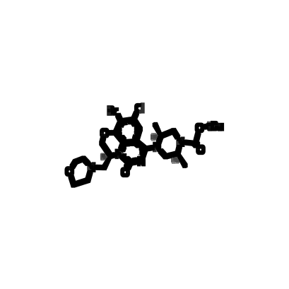 C[C@H]1CN(c2nc(=O)n3c4c(c(Br)c(Cl)cc24)OC[C@@H]3CN2CCOCC2)[C@@H](C)CN1C(=O)OC(C)(C)C